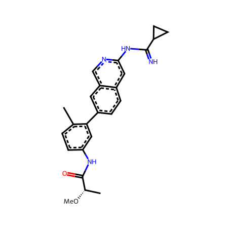 CO[C@@H](C)C(=O)Nc1ccc(C)c(-c2ccc3cc(NC(=N)C4CC4)ncc3c2)c1